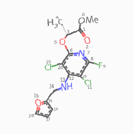 COC(=O)[C@@H](C)Oc1nc(F)c(Cl)c(NCc2ccco2)c1Cl